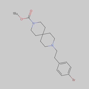 CC(C)(C)OC(=O)N1CCC2(CCN(CCc3ccc(Br)cc3)CC2)CC1